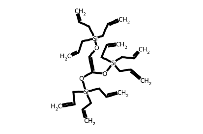 C=CC[Si](CC=C)(CC=C)OC=C(O[Si](CC=C)(CC=C)CC=C)O[Si](CC=C)(CC=C)CC=C